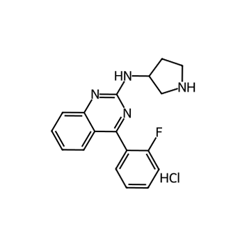 Cl.Fc1ccccc1-c1nc(NC2CCNC2)nc2ccccc12